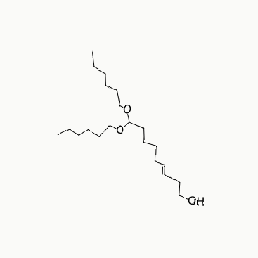 CCCCCCOC(CCCC/C=C/CCO)OCCCCCC